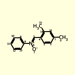 Cc1ccc(C=[N+]([O-])c2ccccc2)c(C)c1